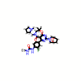 CCNC(=O)Nc1ccc(-c2nc(N3CC4CCC(C3)O4)nc3c2C(=O)N(C[C@@H]2CCCN2C)CC(C)(C)O3)cc1F